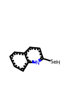 [SeH]c1ccc2ccccc2n1